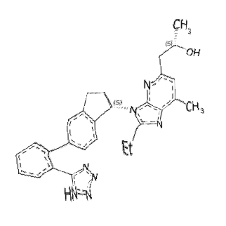 CCc1nc2c(C)cc(C[C@H](C)O)nc2n1[C@H]1CCc2cc(-c3ccccc3-c3nnn[nH]3)ccc21